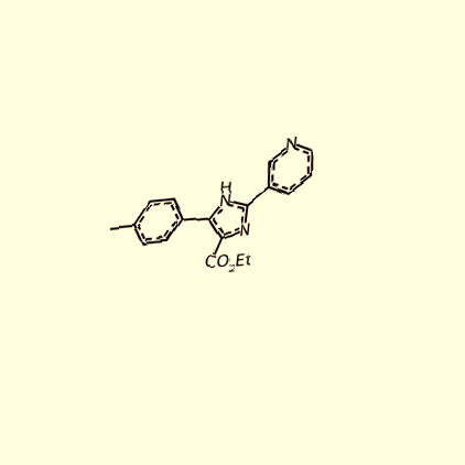 CCOC(=O)c1nc(-c2cccnc2)[nH]c1-c1ccc(C)cc1